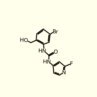 O=C(Nc1ccnc(F)c1)Nc1cc(Br)ccc1CO